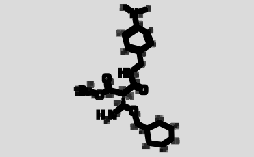 CN(C)c1ccc(CNC(=O)[C@@H](C(=O)OC(C)(C)C)C(N)OCC2CCCCC2)cc1